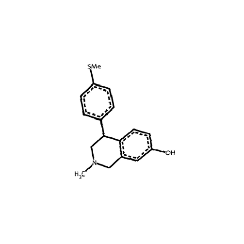 CSc1ccc(C2CN(C)Cc3cc(O)ccc32)cc1